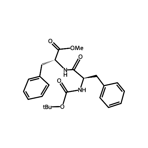 COC(=O)[C@@H](Cc1ccccc1)NC(=O)[C@@H](Cc1ccccc1)NC(=O)OC(C)(C)C